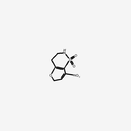 O=[N+]([O-])C1=CCOC2=C1S(=O)(=O)NCC2